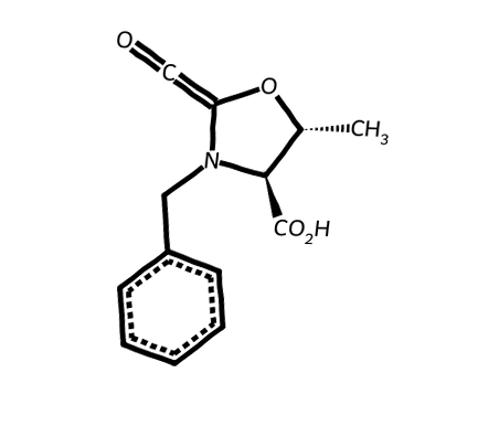 C[C@H]1OC(=C=O)N(Cc2ccccc2)[C@@H]1C(=O)O